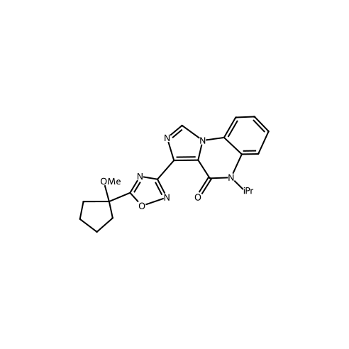 COC1(c2nc(-c3ncn4c3c(=O)n(C(C)C)c3ccccc34)no2)CCCC1